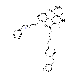 COC(=O)C1=C(C)NC(C)=C(C(=O)OCC=Cc2ccc(Cn3ccnc3)cc2)C1c1cccc(OC/C=C/c2ccccc2)c1